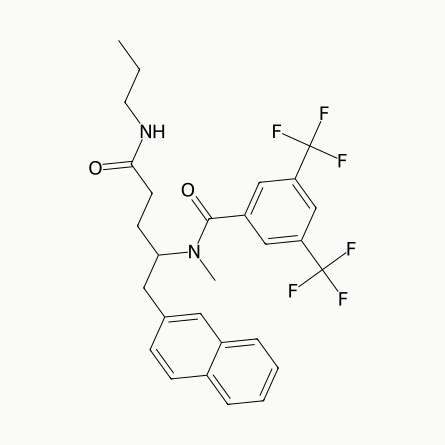 CCCNC(=O)CCC(Cc1ccc2ccccc2c1)N(C)C(=O)c1cc(C(F)(F)F)cc(C(F)(F)F)c1